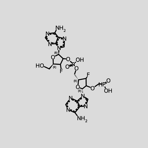 Nc1ncnc2c1ncn2[C@@H]1O[C@H](COP(=O)(O)OC2C(F)[C@@H](CO)O[C@H]2n2cnc3c(N)ncnc32)C(F)C1OC[PH](=O)O